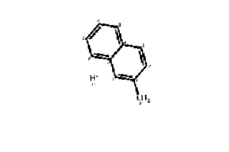 [CH2]c1ccc2ccccc2c1.[H+]